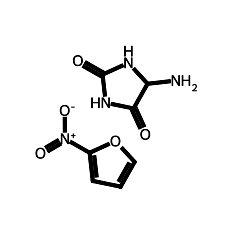 NC1NC(=O)NC1=O.O=[N+]([O-])c1ccco1